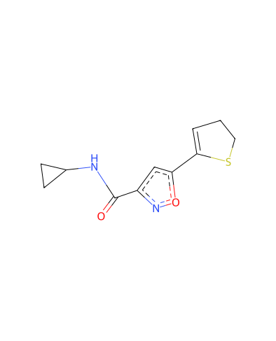 O=C(NC1CC1)c1cc(C2=CCCS2)on1